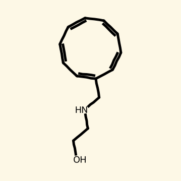 OCCNCc1ccccccccc1